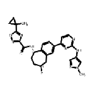 Cn1cc(Nc2nccc(-c3ccc4c(c3)C[C@@H](F)CC[C@@H]4NC(=O)c3noc(C4(C)CC4)n3)n2)cn1